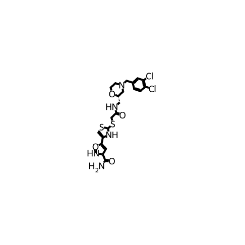 NC(=O)C1C=C(C2=CSC(SCC(=O)NC[C@H]3CN(Cc4ccc(Cl)c(Cl)c4)CCO3)N2)ON1